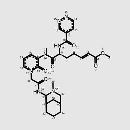 COC(=O)/C=C/CC[C@H](NC(=O)c1ccnnc1)C(=O)Nc1cccn(CC(=O)NC2C3CCCC(C3)CN2C)c1=O